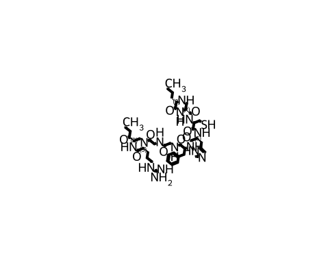 CCCC[C@@H]1NC[C@H](C(=O)NC(CS)C(=O)N[C@@H](Cc2cnc[nH]2)C(=O)NC(Cc2ccccc2)C(=O)NCC(=O)NCC(=O)N2C[C@H](C(=O)CCC)NC(=O)[C@@H]2CCCNC(=N)N)NC1=O